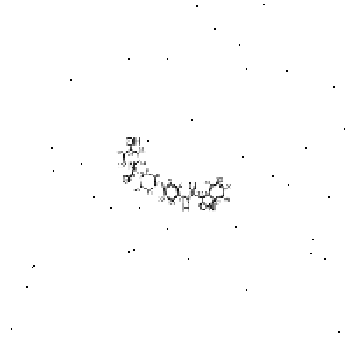 O=C(Nc1ccc([C@H]2CC[C@@H](C(=O)N3CCC(O)CC3)CC2)cc1)c1onc2ccccc12